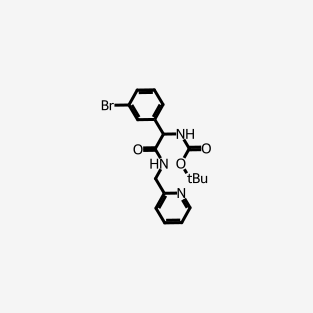 CC(C)(C)OC(=O)NC(C(=O)NCc1ccccn1)c1cccc(Br)c1